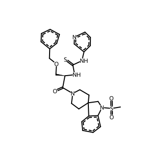 CS(=O)(=O)N1CC2(CCN(C(=O)[C@@H](COCc3ccccc3)NC(=S)Nc3cccnc3)CC2)c2ccccc21